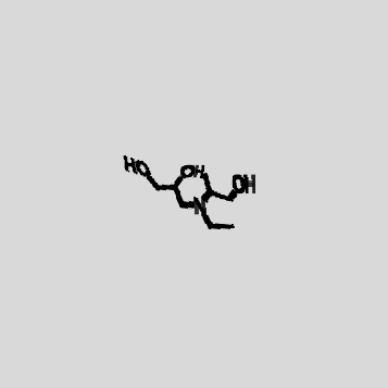 CCN(CC(O)CO)C(C)CO